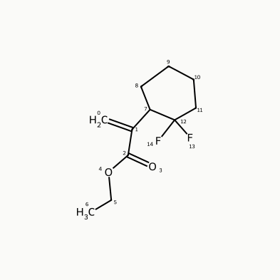 C=C(C(=O)OCC)C1CCCCC1(F)F